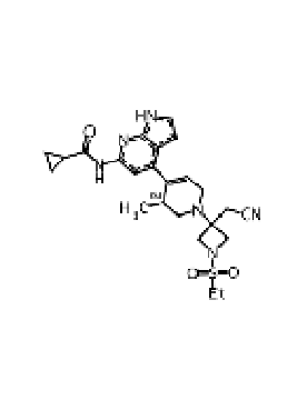 CCS(=O)(=O)N1CC(CC#N)(N2CC=C(c3cc(NC(=O)C4CC4)nc4[nH]ccc34)[C@H](C)C2)C1